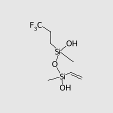 C=C[Si](C)(O)O[Si](C)(O)CCC(F)(F)F